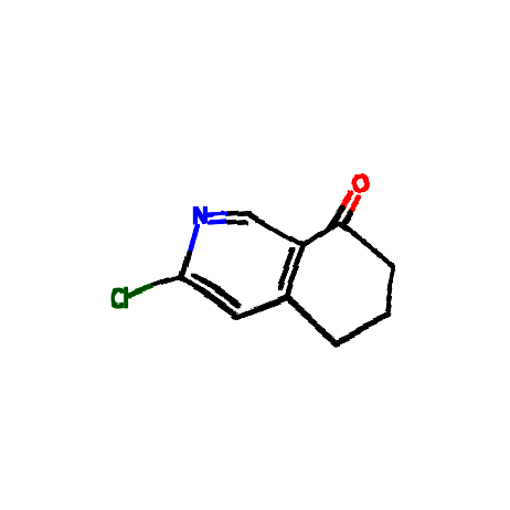 O=C1CCCc2cc(Cl)ncc21